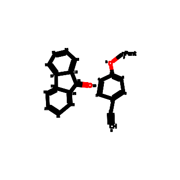 C#Cc1ccc(OCCCCC)cc1.O=C1c2ccccc2-c2ccccc21